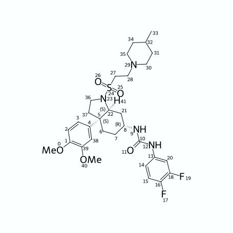 COc1ccc([C@@]23CC[C@@H](NC(=O)Nc4ccc(F)c(F)c4)C[C@@H]2N(S(=O)(=O)CCN2CCC(C)CC2)CC3)cc1OC